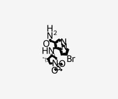 C[C@H]1CN(S(C)(=O)=O)C[C@H]1Nc1c(C(N)=O)cnn2cc(Br)cc12